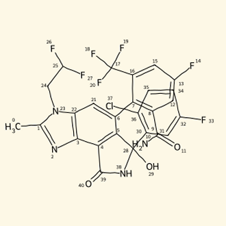 Cc1nc2c3c(c(-c4c(C(N)=O)cc(F)cc4C(F)(F)F)cc2n1CC(F)F)C(O)(c1cc(F)ccc1Cl)NC3=O